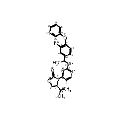 CC(Nc1nccc(N2C(=O)OC[C@@H]2C(C)C)n1)c1ccc(Oc2cccnc2)c(F)c1